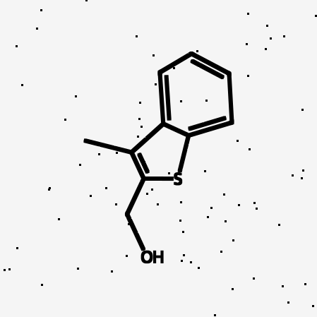 Cc1c(CO)sc2ccccc12